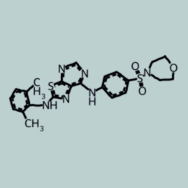 Cc1cccc(C)c1Nc1nc2c(Nc3ccc(S(=O)(=O)N4CCOCC4)cc3)ncnc2s1